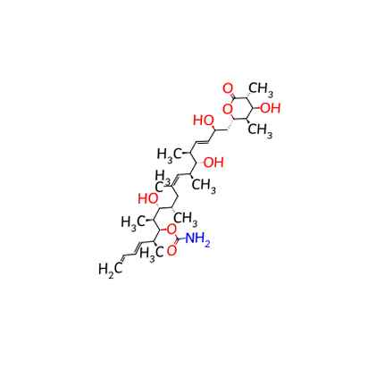 C=CC=C[C@H](C)[C@H](OC(N)=O)[C@@H](C)[C@H](O)[C@@H](C)CC(C)=C[C@H](C)[C@@H](O)[C@@H](C)C=C[C@@H](O)C[C@@H]1OC(=O)[C@H](C)[C@@H](O)[C@H]1C